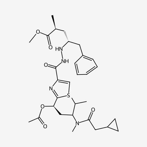 COC(=O)[C@@H](C)C[C@H](Cc1ccccc1)NNC(=O)c1csc([C@@H](CC(C(C)C)N(C)C(=O)CC2CC2)OC(C)=O)n1